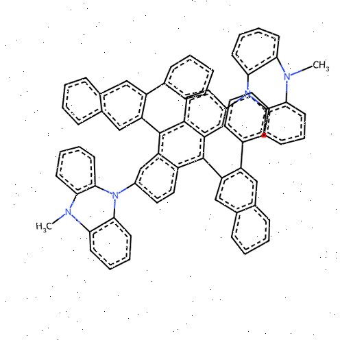 CN1c2ccccc2N(c2ccc3c(-c4cc5ccccc5cc4-c4ccccc4)c4cc(N5c6ccccc6N(C)c6ccccc65)ccc4c(-c4cc5ccccc5cc4-c4ccccc4)c3c2)c2ccccc21